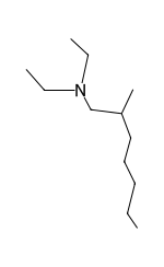 CCCCCC(C)CN(CC)CC